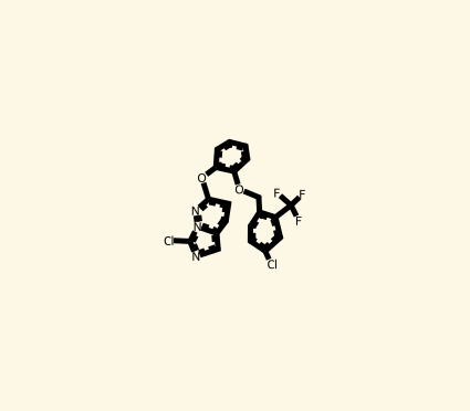 FC(F)(F)c1cc(Cl)ccc1COc1ccccc1Oc1ccc2cnc(Cl)n2n1